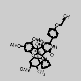 C#CCOc1ccc(-c2nc3c(c(=O)[nH]2)[C@@H](c2ccccc2)[C@]2(C4(C)CC=C(OC)C(C)C4)Oc4cc(OC)cc(OC)c4[C@]32O)cc1